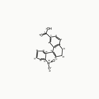 O=C(O)c1ccc2c(c1)C(c1ccccc1[N+](=O)[O-])=CCC2